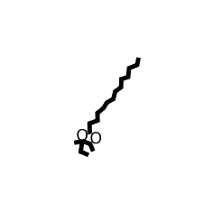 CCCCCCCCCCCCCC(=O)OC(C)(CC)CC